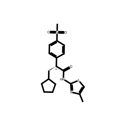 Cc1csc(NC(=O)[C@H](CC2CCCC2)c2ccc(S(C)(=O)=O)cc2)n1